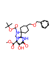 COC(=O)c1nc(C2(N(C)C(=O)OC(C)(C)C)CCC(COCc3ccccc3)CC2)[nH]c(=O)c1O